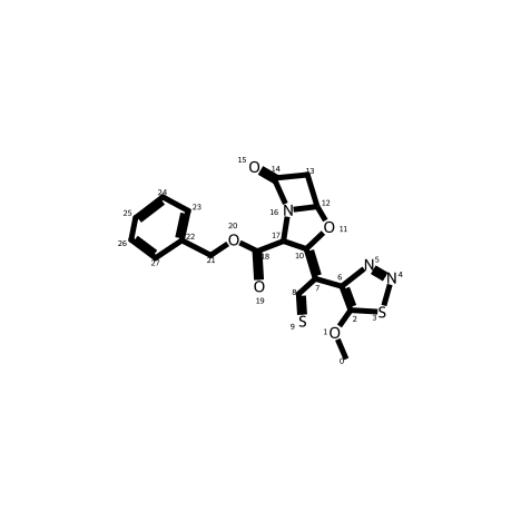 COc1snnc1C(C=S)=C1OC2CC(=O)N2C1C(=O)OCc1ccccc1